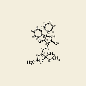 CCCN(CCN1C(=O)NC(c2ccccc2)(c2ccccc2)C1=O)C(C)(C)CC